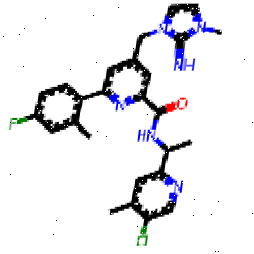 Cc1cc(C(C)NC(=O)c2cc(Cn3ccn(C)c3=N)cc(-c3ccc(F)cc3C)n2)ncc1Cl